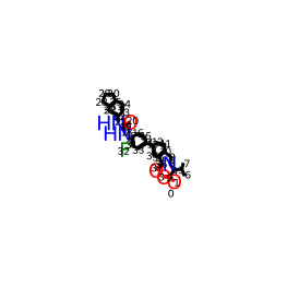 COC(=O)C(C(C)C)N1Cc2ccc(-c3ccc(NC(=O)Nc4ccc5c(c4)CCC5)c(F)c3)cc2C1=O